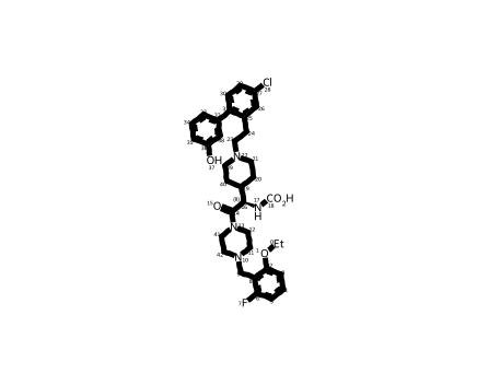 CCOc1cccc(F)c1CN1CCN(C(=O)[C@H](NC(=O)O)C2CCN(CCc3cc(Cl)ccc3-c3cccc(O)c3)CC2)CC1